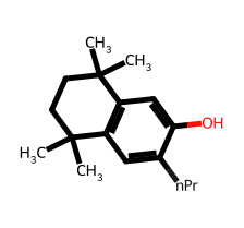 CCCc1cc2c(cc1O)C(C)(C)CCC2(C)C